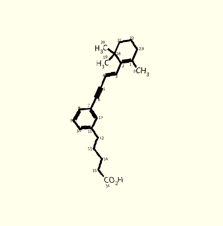 CC1=C(C=CC#Cc2cccc(CCCCC(=O)O)c2)C(C)(C)CCC1